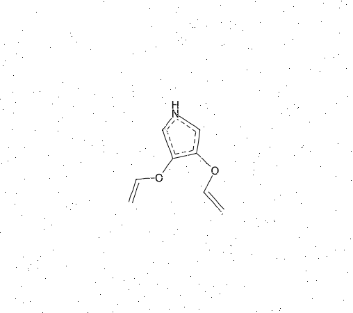 C=COc1c[nH]cc1OC=C